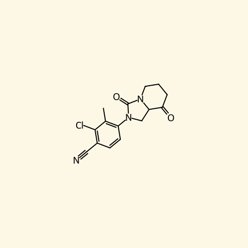 Cc1c(N2CC3C(=O)CCCN3C2=O)ccc(C#N)c1Cl